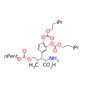 CCCCCOC(=O)OCC(C)C(c1ccc(OC(=O)OCCC(C)C)c(OC(=O)OCCC(C)C)c1)[C@H](N)C(=O)O